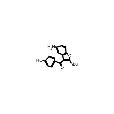 CCCCc1oc2ccc(N)cc2c1C(=O)c1ccc(O)cc1